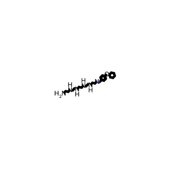 NCCNCCNCCNCCNCC/N=C/c1ccc(OC2CCCCC2)cc1